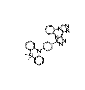 C[Si]1(C)c2ccccc2N(c2ccc(-c3nnc4c5nncn5c5ccccc5n34)cc2)c2ccccc21